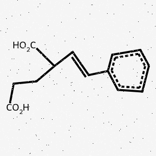 O=C(O)CCC(C=Cc1ccccc1)C(=O)O